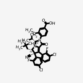 COc1cc(C(=O)O)ccc1N1C(=O)C2=C(c3cccc(Cl)c3F)[C@@](C#N)(c3ccc(Cl)cc3F)[C@H](CC(C)(C)C)N2[C@@H]1C(C)C